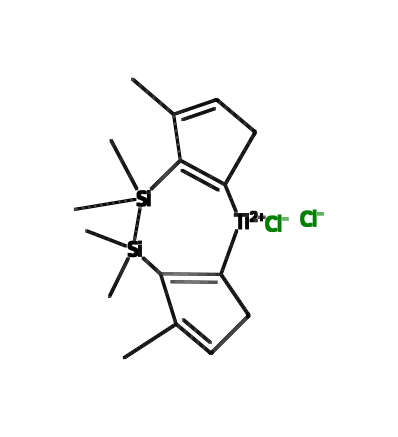 CC1=CC[C]2=C1[Si](C)(C)[Si](C)(C)C1=[C](CC=C1C)[Ti+2]2.[Cl-].[Cl-]